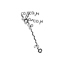 O=C(O)CCO[C@H]1[C@H](OCCC(=O)O)[C@@H](COC(=O)OCCCCCCCCCC(=O)OCc2ccccc2)OC[C@@H]1OCCC(=O)O